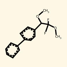 COC(c1ccc(-c2ccccc2)cc1)C(F)(F)OC